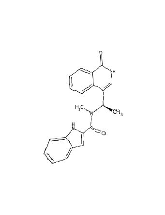 C[C@H](c1c[nH]c(=O)c2ccccc12)N(C)C(=O)c1cc2ccccc2[nH]1